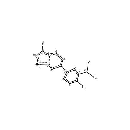 Fc1ccc(-c2cnc3c(F)n[nH]c3c2)cc1C(F)F